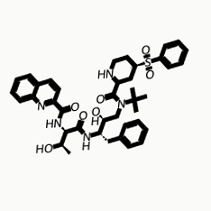 C[C@@H](O)[C@H](NC(=O)c1ccc2ccccc2n1)C(=O)N[C@@H](Cc1ccccc1)[C@H](O)CN(C(=O)C1C[C@H](S(=O)(=O)c2ccccc2)CCN1)C(C)(C)C